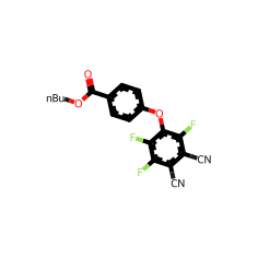 CCCCOC(=O)c1ccc(Oc2c(F)c(F)c(C#N)c(C#N)c2F)cc1